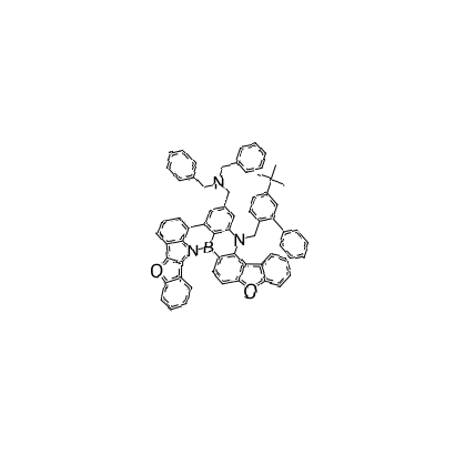 CC(C)(C)c1ccc(CN2c3cc(CN(Cc4ccccc4)Cc4ccccc4)cc4c3B(c3ccc5oc6ccccc6c5c32)n2c3c-4cccc3c3oc4ccccc4c32)c(-c2ccccc2)c1